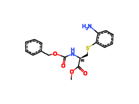 COC(=O)[C@H](CSc1ccccc1N)NC(=O)OCc1ccccc1